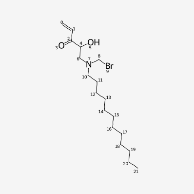 C=CC(=O)C(O)CN(CBr)CCCCCCCCCCCC